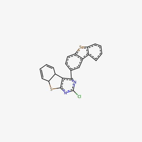 Clc1nc2c(c(-c3ccc4sc5ccccc5c4c3)n1)C1C=CC=CC1S2